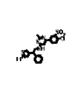 CCn1cc(C(CNc2cc(-c3ccc(Cl)c([N+](=O)[O-])c3)nc(C)n2)c2ccccc2)cn1